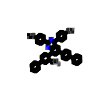 CC1C=C(c2ccccc2)C=CC1c1cc(-c2ccc(-c3ccccc3)cc2)cc2c(-c3ccc(C#N)cc3)nc(-c3ccc(C#N)cc3)nc12